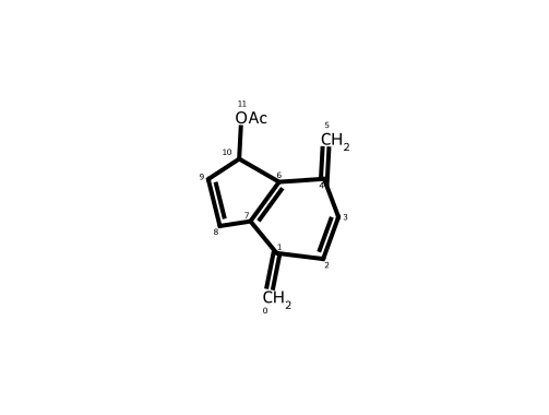 C=c1ccc(=C)c2c1C=CC2OC(C)=O